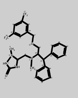 CN(CC1NC(=O)NN1C)C(COCc1cc(C(F)(F)F)cc(C(F)(F)F)c1)C(c1ccccc1)c1ccccc1